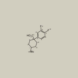 CCCCC1CCC(C(=O)O)(c2ccc(F)c(F)c2)CC1